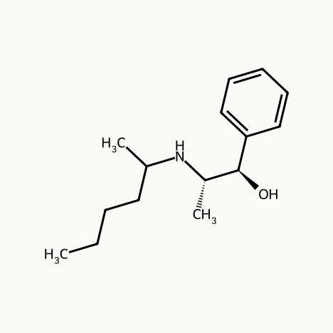 CCCCC(C)N[C@@H](C)[C@H](O)c1ccccc1